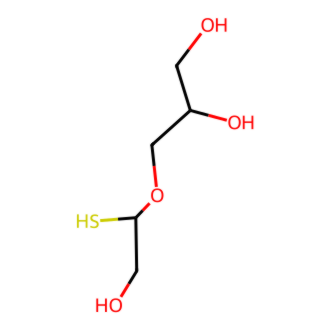 OCC(O)COC(S)CO